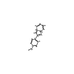 CSc1ccc(-c2cn3cnccc3n2)cc1